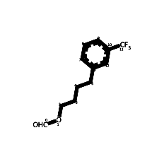 O=COCCCCc1cccc(C(F)(F)F)c1